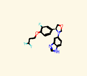 Fc1cc([C@H]2COCN2c2ccc3[nH]cnc3c2)ccc1OCCC(F)F